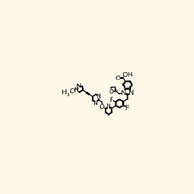 Cn1cc(C#Cc2cnc(COc3cccc(-c4cc(F)c(Cc5nc6ccc(C(=O)O)cc6n5C[C@@H]5CCO5)cc4F)n3)nc2)cn1